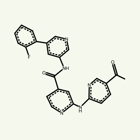 CC(=O)c1ccc(Nc2cc(C(=O)Nc3cncc(-c4ccccc4F)c3)ccn2)nc1